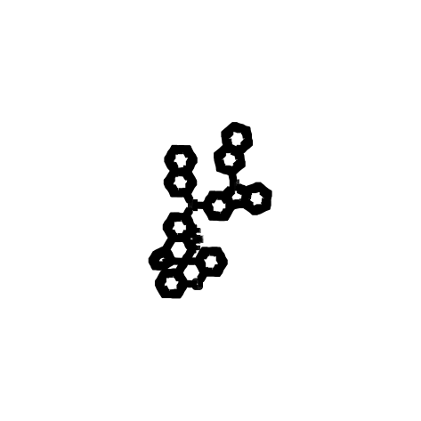 c1ccc2c(c1)Oc1ccccc1C21c2ccccc2-c2ccc(N(c3ccc4ccccc4c3)c3ccc4c5ccccc5n(-c5ccc6ccccc6c5)c4c3)c3cccc1c23